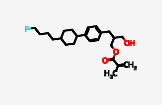 C=C(C)C(=O)OCC(CO)Cc1ccc(C2CCC(CCCCF)CC2)cc1